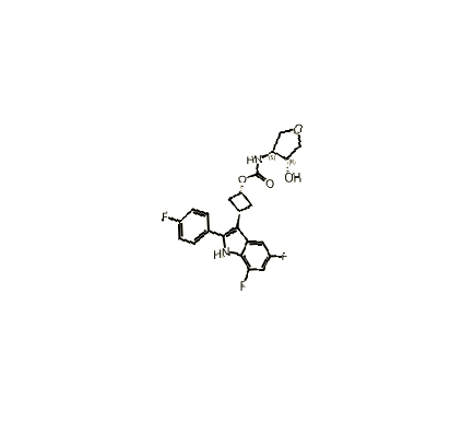 O=C(N[C@H]1COC[C@@H]1O)O[C@H]1C[C@H](c2c(-c3ccc(F)cc3)[nH]c3c(F)cc(F)cc32)C1